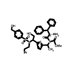 COC(=O)N(C(=O)[C@@H](N)C(c1ccccc1)c1ccccc1)C(C)c1ccc(C(CO)N(CCC(C)C)S(=O)(=O)c2ccc(CO)cc2)s1